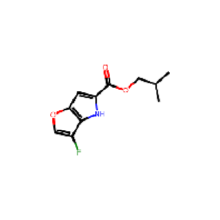 CC(C)COC(=O)c1cc2occ(F)c2[nH]1